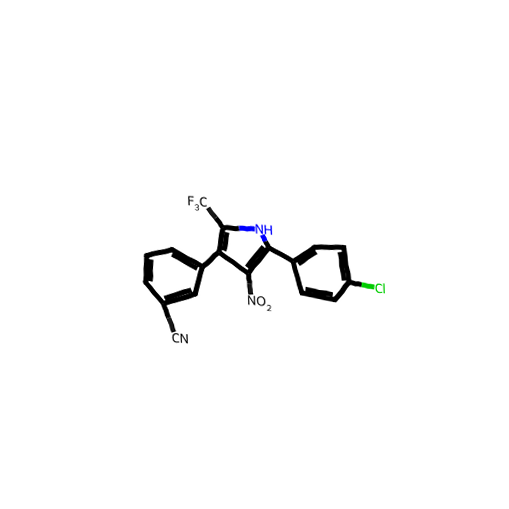 N#Cc1cccc(-c2c(C(F)(F)F)[nH]c(-c3ccc(Cl)cc3)c2[N+](=O)[O-])c1